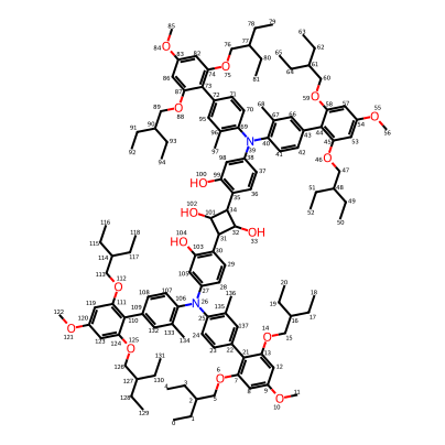 CCC(CC)COc1cc(OC)cc(OCC(CC)CC)c1-c1ccc(N(c2ccc(C3C(O)C(c4ccc(N(c5ccc(-c6c(OCC(CC)CC)cc(OC)cc6OCC(CC)CC)cc5C)c5ccc(-c6c(OCC(CC)CC)cc(OC)cc6OCC(CC)CC)cc5C)cc4O)C3O)c(O)c2)c2ccc(-c3c(OCC(CC)CC)cc(OC)cc3OCC(CC)CC)cc2C)c(C)c1